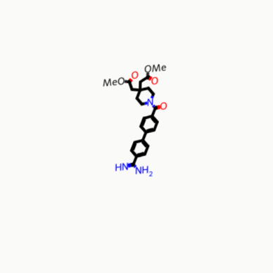 COC(=O)CC1(CC(=O)OC)CCN(C(=O)c2ccc(-c3ccc(C(=N)N)cc3)cc2)CC1